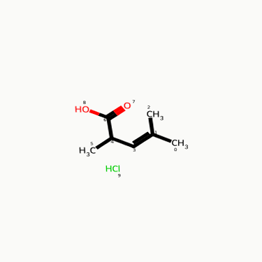 CC(C)=CC(C)C(=O)O.Cl